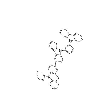 c1ccc(N2c3ccccc3Sc3cc(-c4ccc5c(c4)c4ccccc4n5-c4cccc(-n5c6ccccc6c6ccccc65)c4)ccc32)cc1